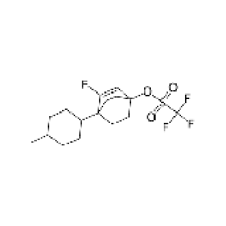 CC1CCC(C23CCC(OS(=O)(=O)C(F)(F)F)(C=C2F)CC3)CC1